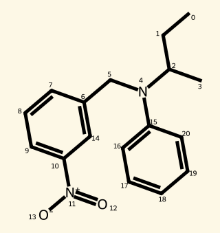 CCC(C)N(Cc1cccc([N+](=O)[O-])c1)c1ccccc1